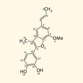 C/C=C/c1cc(OC)c2oc(-c3ccc(O)c(O)c3)c(C)c2c1